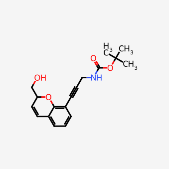 CC(C)(C)OC(=O)NCC#Cc1cccc2c1OC(CO)C=C2